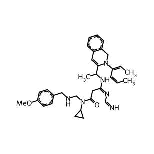 C/C=C\C(=C/C)N1Cc2ccccc2C=C1C(C)N/C(CC(=O)N(CNCc1ccc(OC)cc1)C1CC1)=N/C=N